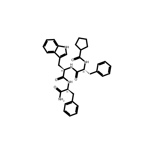 NC(=O)[C@H](Cc1ccccc1)NC(=O)[C@@H](Cc1c[nH]c2ccccc12)NC(=O)[C@@H](Cc1ccccc1)NC(=O)C1CCCC1